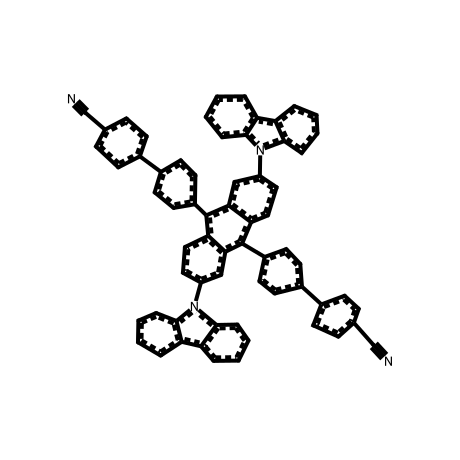 N#Cc1ccc(-c2ccc(-c3c4ccc(-n5c6ccccc6c6ccccc65)cc4c(-c4ccc(-c5ccc(C#N)cc5)cc4)c4ccc(-n5c6ccccc6c6ccccc65)cc34)cc2)cc1